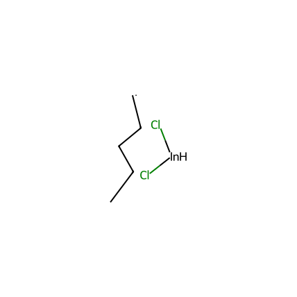 [CH2]CCCC.[Cl][InH][Cl]